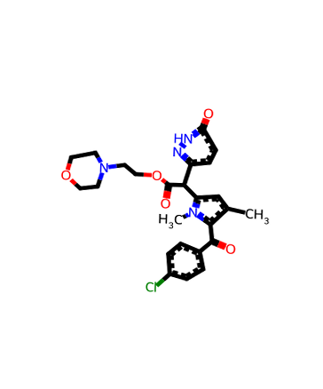 Cc1cc(C(C(=O)OCCN2CCOCC2)c2ccc(=O)[nH]n2)n(C)c1C(=O)c1ccc(Cl)cc1